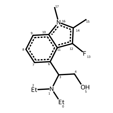 CCN(CC)C(CO)c1cccc2c1c(F)c(C)n2C